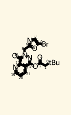 CC(C)(C)CC(=O)Oc1nn(Cc2ncc(Br)o2)c(=O)c2ncccc12